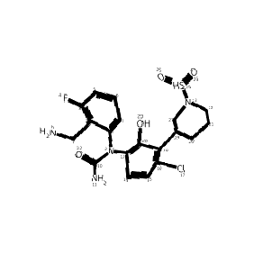 NCc1c(F)cccc1N(C(N)=O)c1ccc(Cl)c(C2CCCN([SH](=O)=O)C2)c1O